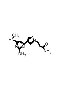 CNc1cc(-c2cnn(CCC(N)=O)c2)nc(N)n1